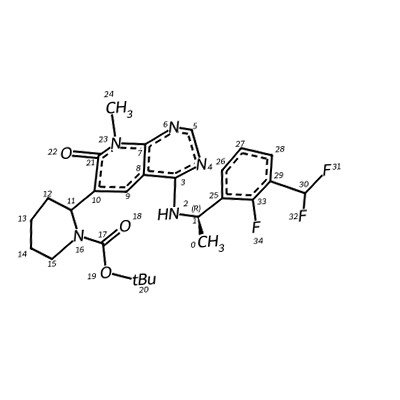 C[C@@H](Nc1ncnc2c1cc(C1CCCCN1C(=O)OC(C)(C)C)c(=O)n2C)c1cccc(C(F)F)c1F